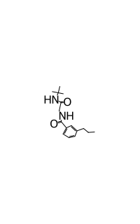 CCCc1cccc(C(=O)NCC(=O)NC(C)(C)C)c1